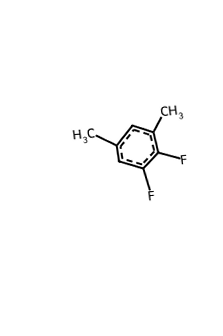 Cc1cc(C)c(F)c(F)c1